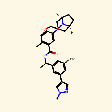 COc1cc(-c2cnn(C)c2)cc([C@@H](C)NC(=O)c2cc(N3C[C@H]4CC[C@@H](C3)N4CCO)ccc2C)c1